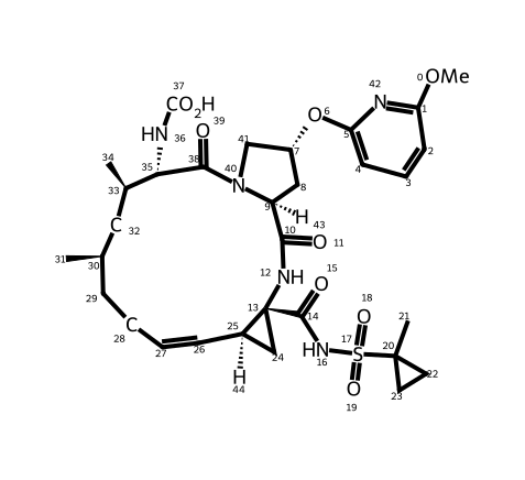 COc1cccc(O[C@@H]2C[C@H]3C(=O)N[C@]4(C(=O)NS(=O)(=O)C5(C)CC5)C[C@H]4/C=C\CC[C@@H](C)C[C@@H](C)[C@H](NC(=O)O)C(=O)N3C2)n1